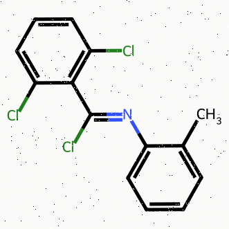 Cc1ccccc1N=C(Cl)c1c(Cl)cccc1Cl